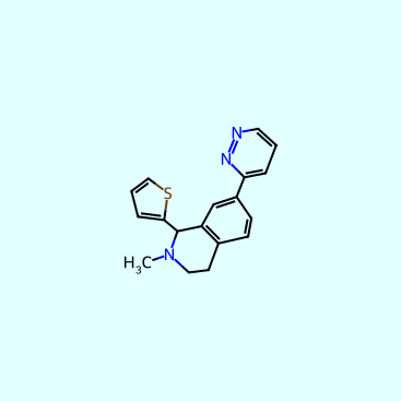 CN1CCc2ccc(-c3cccnn3)cc2C1c1cccs1